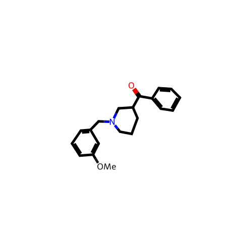 COc1cccc(CN2CCCC(C(=O)c3ccccc3)C2)c1